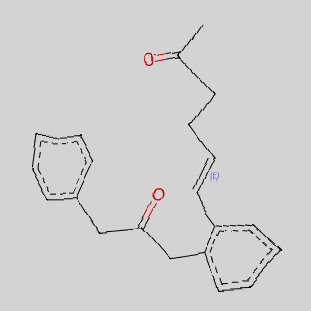 CC(=O)CC/C=C/c1ccccc1CC(=O)Cc1ccccc1